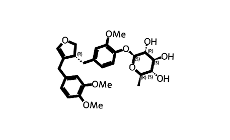 COc1ccc(CC2=COC[C@@H]2Cc2ccc(O[C@@H]3O[C@H](C)[C@@H](O)[C@H](O)[C@H]3O)c(OC)c2)cc1OC